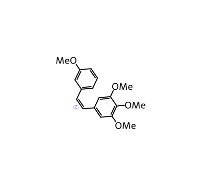 COc1cccc(/C=C\c2cc(OC)c(OC)c(OC)c2)c1